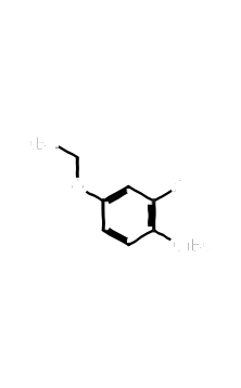 CC(C)COc1ccc(OCC(C)(C)C)cc1Cl